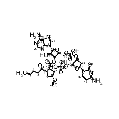 C=CCCC(=O)N1CC(OCC)CC1C(=O)O[C@H]1[C@@H](O)[C@H](n2cnc3c(N)ncnc32)O[C@@H]1COP(=O)(O)O[C@H]1C[C@H](n2ccc(N)nc2=O)O[C@@H]1COP(=O)(O)O